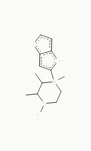 CC1C(C)[N+](C)(c2cc3sccc3[nH]2)CCN1C=O